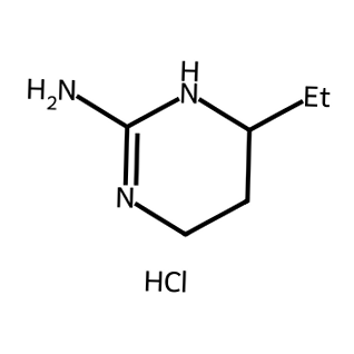 CCC1CCN=C(N)N1.Cl